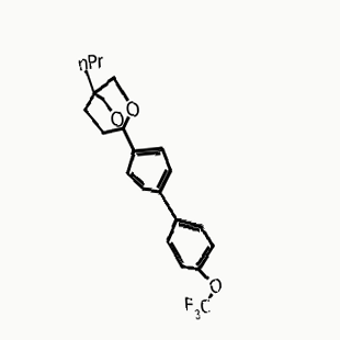 CCCC12CCC(c3ccc(-c4ccc(OC(F)(F)F)cc4)cc3)(OC1)OC2